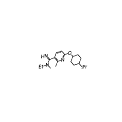 CCN(C)C(=N)c1ccc(OC2CCC(C(C)C)CC2)nc1C